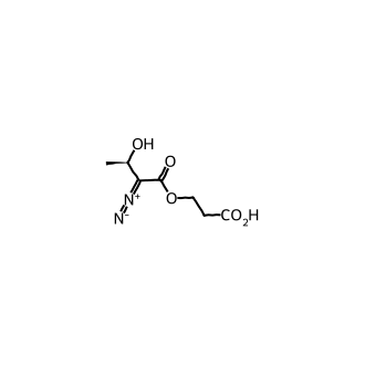 C[C@@H](O)C(=[N+]=[N-])C(=O)OCCC(=O)O